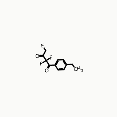 CCc1ccc(C(=O)C(F)(F)C(=O)CF)cc1